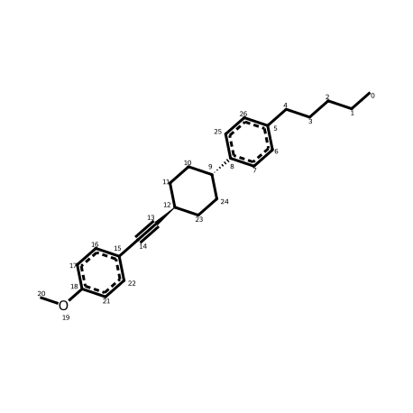 CCCCCc1ccc([C@H]2CC[C@H](C#Cc3ccc(OC)cc3)CC2)cc1